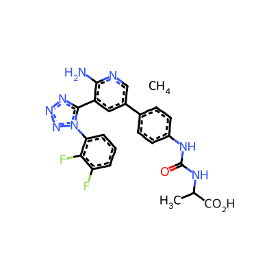 C.CC(NC(=O)Nc1ccc(-c2cnc(N)c(-c3nnnn3-c3cccc(F)c3F)c2)cc1)C(=O)O